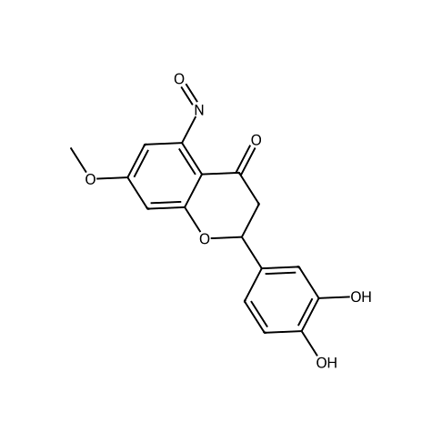 COc1cc(N=O)c2c(c1)OC(c1ccc(O)c(O)c1)CC2=O